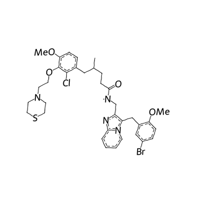 COc1ccc(Br)cc1Cc1c(C[N]C(=O)CCC(C)Cc2ccc(OC)c(OCCN3CCSCC3)c2Cl)nc2ccccn12